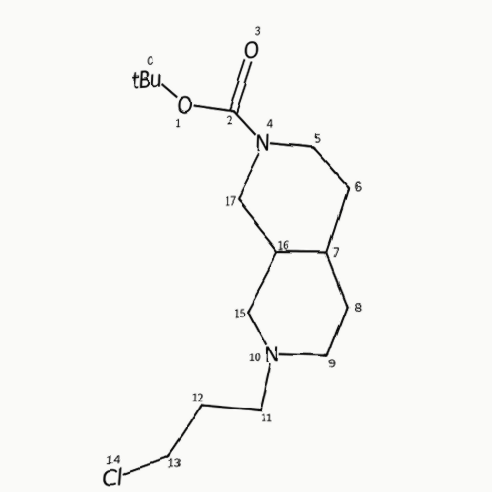 CC(C)(C)OC(=O)N1CCC2CCN(CCCCl)CC2C1